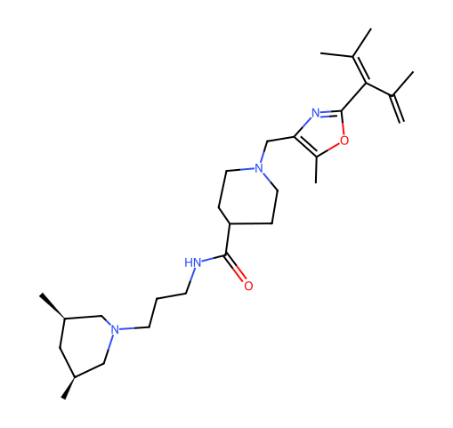 C=C(C)C(=C(C)C)c1nc(CN2CCC(C(=O)NCCCN3C[C@H](C)C[C@H](C)C3)CC2)c(C)o1